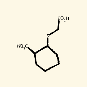 O=C(O)CSC1CCCCC1C(=O)O